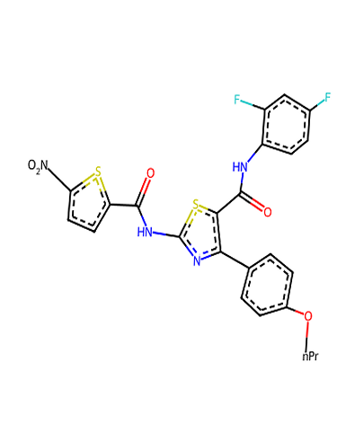 CCCOc1ccc(-c2nc(NC(=O)c3ccc([N+](=O)[O-])s3)sc2C(=O)Nc2ccc(F)cc2F)cc1